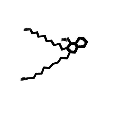 CCCCCCCCCCCCCCCCCCCc1cc2ccccc2c(S(=O)(=O)O)c1CCCCCCCCCCCCCCCCCCC